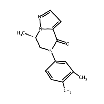 Cc1ccc(N2C[C@H](C)n3nccc3C2=O)cc1C